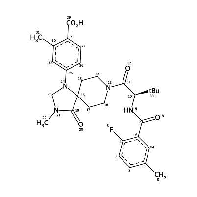 Cc1ccc(F)c(C(=O)N[C@@H](C(=O)N2CCC3(CC2)C(=O)N(C)CN3c2ccc(C(=O)O)c(C)c2)C(C)(C)C)c1